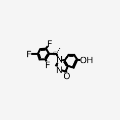 C[C@@H](c1c(F)cc(F)cc1F)n1cnc(=O)c2cc(O)ccc21